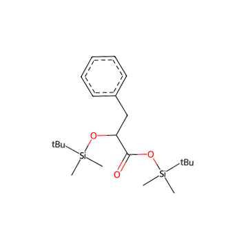 CC(C)(C)[Si](C)(C)OC(=O)C(Cc1ccccc1)O[Si](C)(C)C(C)(C)C